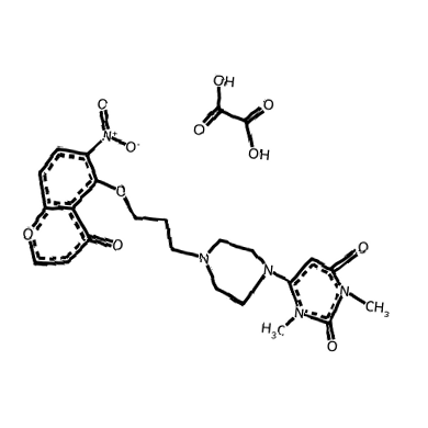 Cn1c(N2CCN(CCCOc3c([N+](=O)[O-])ccc4occc(=O)c34)CC2)cc(=O)n(C)c1=O.O=C(O)C(=O)O